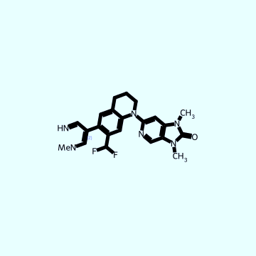 CN/C=C(\C=N)c1cc2c(cc1C(F)F)N(c1cc3c(cn1)n(C)c(=O)n3C)CCC2